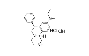 CCN(C)c1ccc2c(c1)[C@H](c1ccccc1)CN1CCNC[C@@H]21.Cl.Cl